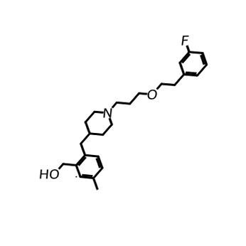 Cc1[c]c(CO)c(CC2CCN(CCCOCCc3cccc(F)c3)CC2)cc1